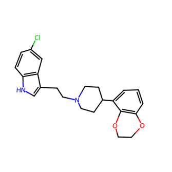 Clc1ccc2[nH]cc(CCN3CCC(c4cccc5c4OCCO5)CC3)c2c1